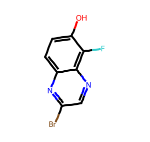 Oc1ccc2nc(Br)cnc2c1F